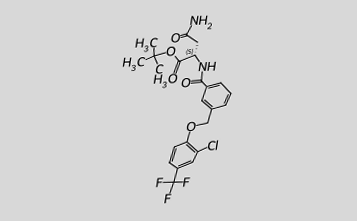 CC(C)(C)OC(=O)[C@H](CC(N)=O)NC(=O)c1cccc(COc2ccc(C(F)(F)F)cc2Cl)c1